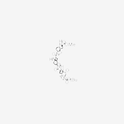 COC(=O)c1cc2c3c(ccc2[nH]1)N(C(=O)c1cc2c4c(ccc2[nH]1)N(C(=O)c1cc2c([nH]1)C(=O)C=C1N(C(=O)OC(C)(C)C)CC5CC125)CC4)CC3